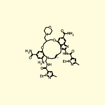 CCn1nc(C)cc1C(=O)NCN1C/C=C/Cn2c(NC(=O)c3cc(C)nn3CC)nc3cc(C(N)=O)cc(c32)OCC(CN2CCOCC2)COc2cc(C(N)=O)cc(N)c21